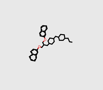 CCCC1CCC(CC2CCC(CC(COc3ccc4ccccc4c3)COc3ccc4ccccc4c3)CC2)CC1